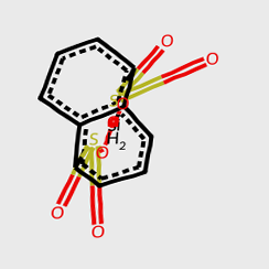 O=S1(=O)OO[SiH2]OS(=O)(=O)c2cccc3c1cccc23